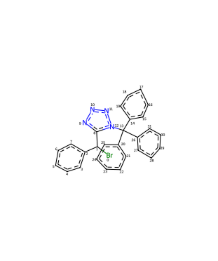 BrC(c1ccccc1)c1nnnn1C(c1ccccc1)(c1ccccc1)c1ccccc1